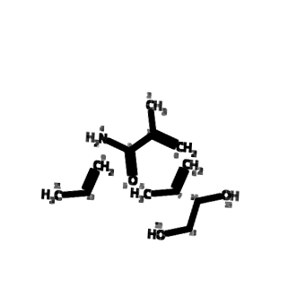 C=C(C)C(N)=O.C=CC.C=CC.OCCO